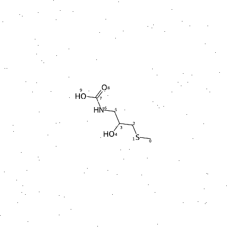 CSCC(O)CNC(=O)O